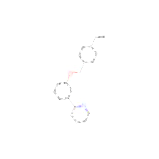 C=Cc1ccc(COc2cccc(-c3ccccn3)c2)cc1